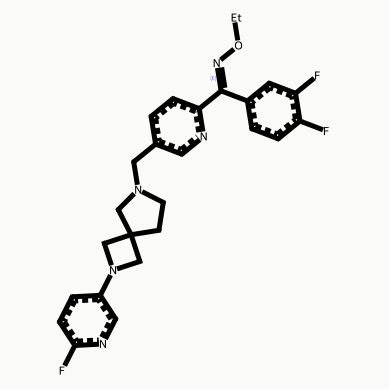 CCO/N=C(\c1ccc(F)c(F)c1)c1ccc(CN2CCC3(C2)CN(c2ccc(F)nc2)C3)cn1